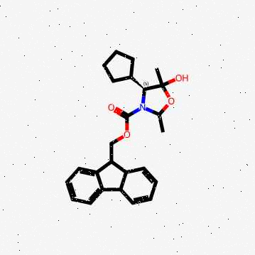 CC1OC(C)(O)[C@H](C2CCCC2)N1C(=O)OCC1c2ccccc2C2C=CC=CC21